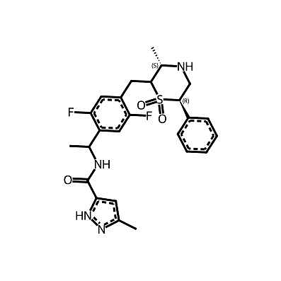 Cc1cc(C(=O)NC(C)c2cc(F)c(CC3[C@H](C)NC[C@@H](c4ccccc4)S3(=O)=O)cc2F)[nH]n1